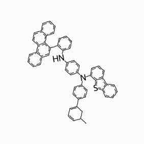 CC1C=CC=C(c2ccc(N(c3ccc(Nc4ccccc4-c4cc5ccccc5c5ccc6ccccc6c45)cc3)c3cccc4c3sc3ccccc34)cc2)C1